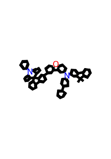 CC1(C)c2ccccc2-c2ccc(N(c3ccc(-c4ccccc4)cc3)c3ccc4oc5ccc(-c6ccc7c(c6)C6(c8ccccc8-7)c7ccccc7N(c7ccccc7)c7ccccc76)cc5c4c3)cc21